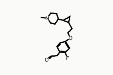 CN1CCC(C2CC2CCOc2ccc(CC=O)c(F)c2)CC1